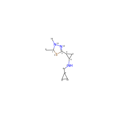 CC1SC(C2CC2NCC2CC2)=NN1C